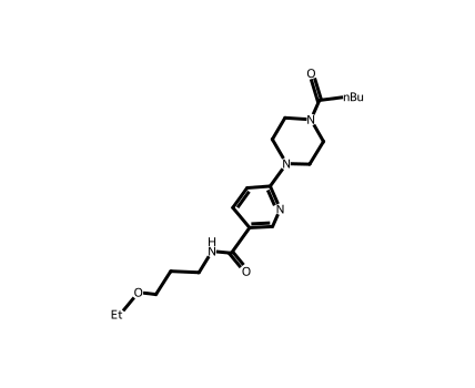 CCCCC(=O)N1CCN(c2ccc(C(=O)NCCCOCC)cn2)CC1